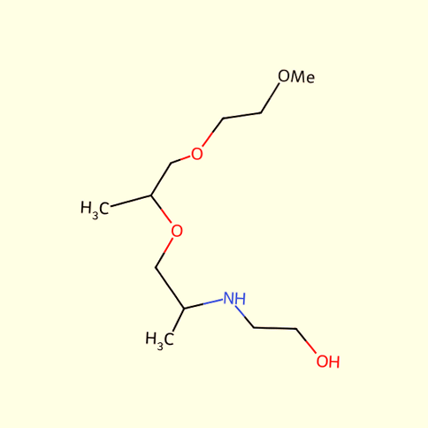 COCCOCC(C)OCC(C)NCCO